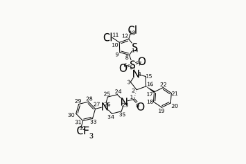 O=C([C@@H]1CN(S(=O)(=O)c2cc(Cl)c(Cl)s2)C[C@H]1c1ccccc1)N1CCN(c2cccc(C(F)(F)F)c2)CC1